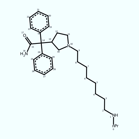 CCCNCCCCCCCCN1CCC(C(C(N)=O)(c2ccccc2)c2ccccc2)C1